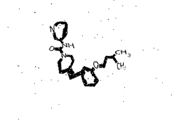 CC(C)CCOc1cccc(C=C2CCN(C(=O)Nc3cccnc3)CC2)c1